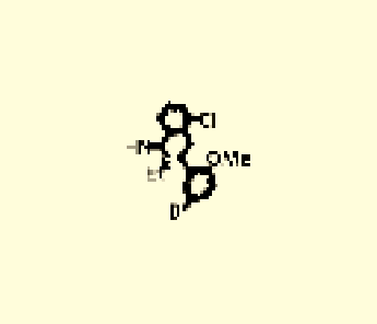 CCSC(=N)c1cccc(Cl)c1CCc1cc(Br)ccc1OC